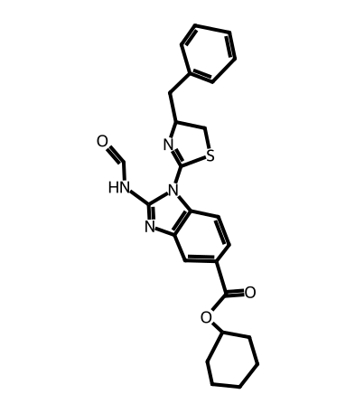 O=CNc1nc2cc(C(=O)OC3CCCCC3)ccc2n1C1=NC(Cc2ccccc2)CS1